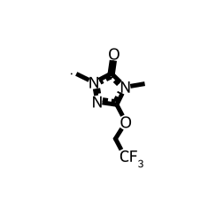 [CH2]n1nc(OCC(F)(F)F)n(C)c1=O